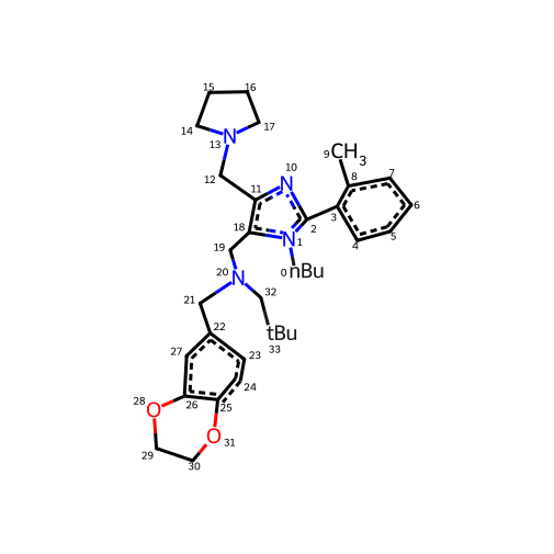 CCCCn1c(-c2ccccc2C)nc(CN2CCCC2)c1CN(Cc1ccc2c(c1)OCCO2)CC(C)(C)C